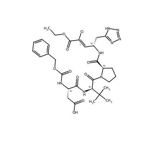 CCOC(=O)/C(Cl)=C/[C@H](Cc1nnn[nH]1)NC(=O)[C@H]1CCCN1C(=O)[C@H](NC(=O)[C@H](CC(=O)O)NC(=O)OCc1ccccc1)C(C)(C)C